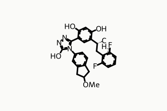 COC1Cc2ccc(-n3c(O)nnc3-c3cc([C@H](C)Cc4c(F)cccc4F)c(O)cc3O)cc2C1